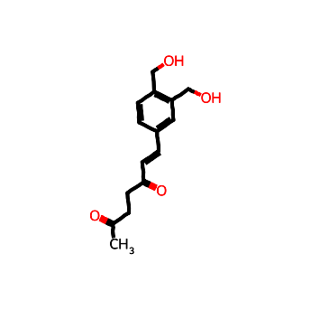 CC(=O)CCC(=O)/C=C/c1ccc(CO)c(CO)c1